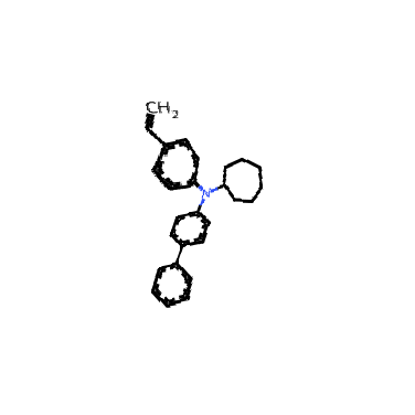 C=Cc1ccc(N(c2ccc(-c3ccccc3)cc2)C2CCCCCC2)cc1